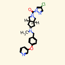 CN(Cc1ccc(Oc2cccnc2)cc1)[C@@H]1C[C@@H]2CN(C(=O)n3cc(Cl)cn3)C[C@@H]2C1